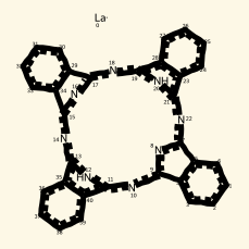 [La].c1ccc2c(c1)-c1nc-2nc2[nH]c(nc3nc(nc4[nH]c(n1)c1ccccc41)-c1ccccc1-3)c1ccccc21